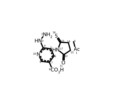 CC(C)=O.NNc1ccc(C(=O)O)cn1.O=C1CCC(=S)N1